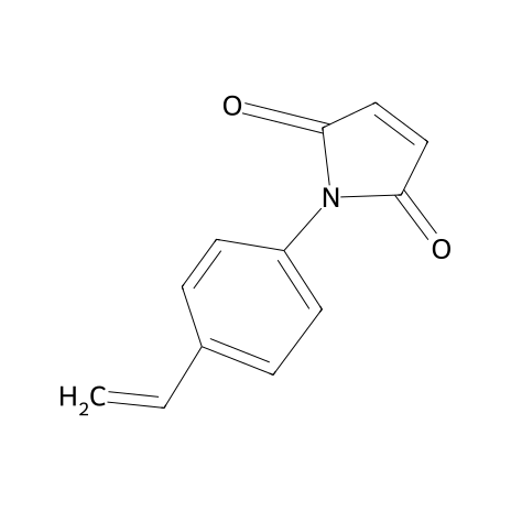 C=Cc1ccc(N2C(=O)C=CC2=O)cc1